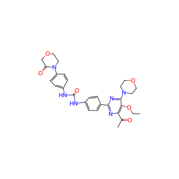 CCOc1c(C(C)=O)nc(-c2ccc(NC(=O)Nc3ccc(N4CCOCC4=O)cc3)cc2)nc1N1CCOCC1